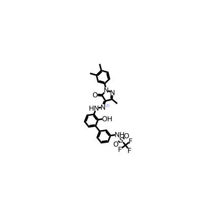 CC1=NN(c2ccc(C)c(C)c2)C(=O)/C1=N\Nc1cccc(-c2cccc(NS(=O)(=O)C(F)(F)F)c2)c1O